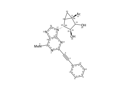 CNc1nc(C#Cc2ccccc2)nc2c1ncn2[C@@H]1C2C[C@]2(C(C)=O)C(O)[C@H]1O